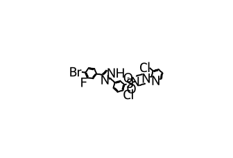 O=S(=O)(c1cc(-c2nc(-c3ccc(Br)c(F)c3)c[nH]2)ccc1Cl)N1CCN(c2ncccc2Cl)CC1